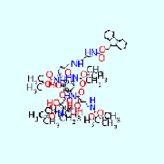 C=C(C)OC(=O)N[C@@H]1CC=C(CNCCCCNC(=O)OCC2c3ccccc3-c3ccccc32)OC1[C@H]1[C@H](O)[C@@H](O[C@H]2OC[C@](C)(O)[C@H](N(C)C(=O)OC(C)(C)C)[C@H]2O)[C@H](NC(=O)[C@@H](O)CCNC(=O)OC(C)(C)C)C[C@@H]1NC(=O)OC(C)(C)C